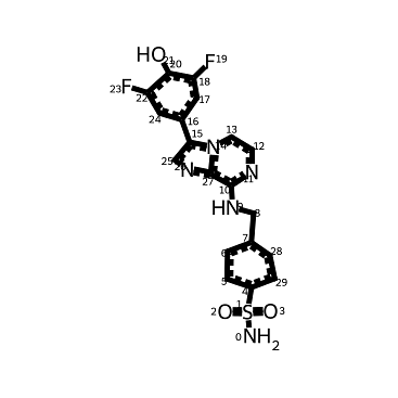 NS(=O)(=O)c1ccc(CNc2nccn3c(-c4cc(F)c(O)c(F)c4)cnc23)cc1